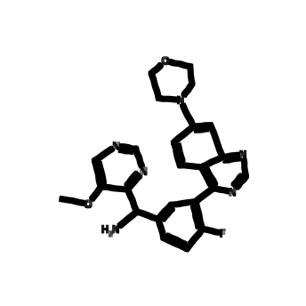 COc1cncnc1C(N)c1ccc(F)c(-c2ncnc3cc(N4CCOCC4)ccc23)c1